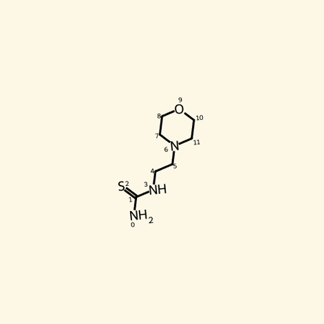 NC(=S)NCCN1CCOCC1